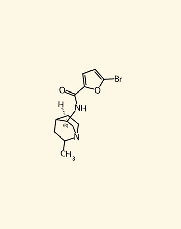 CC1CC2CCN1C[C@@H]2NC(=O)c1ccc(Br)o1